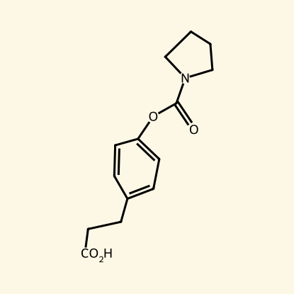 O=C(O)CCc1ccc(OC(=O)N2CCCC2)cc1